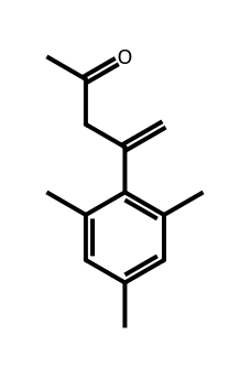 C=C(CC(C)=O)c1c(C)cc(C)cc1C